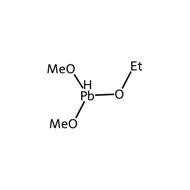 CC[O][PbH]([O]C)[O]C